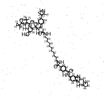 Cc1ncsc1-c1ccc([C@H](CC(=O)NCCCCCCCCCCCNC(=O)c2ccc(C(=O)Nc3ccc4[nH]c(CN5CCC[C@@H]5C)nc4c3)cc2)NC(=O)[C@@H]2C[C@@H](O)CN2C(=O)[C@@H](NC(=O)C2(F)CC2)C(C)(C)C)cc1